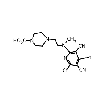 CCc1c(C#N)c(Cl)nc(N(C)CCN2CCN(C(=O)O)CC2)c1C#N